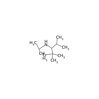 CC(C)NC(C(C)C)C(C)(C)C